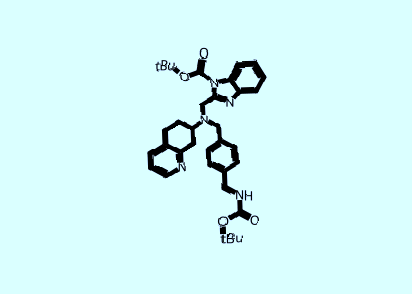 CC(C)(C)OC(=O)NCc1ccc(CN(Cc2nc3ccccc3n2C(=O)OC(C)(C)C)C2CCc3cccnc3C2)cc1